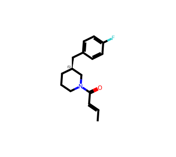 CC=CC(=O)N1CCC[C@@H](Cc2ccc(F)cc2)C1